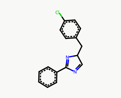 Clc1ccc(CC2C=NC(c3ccccc3)=N2)cc1